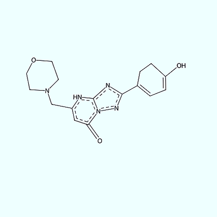 O=c1cc(CN2CCOCC2)[nH]c2nc(C3=CC=C(O)CC3)nn12